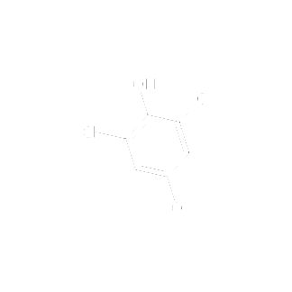 [O]c1cc(Cl)c(O)c(Cl)c1